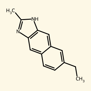 CCc1ccc2cc3nc(C)[nH]c3cc2c1